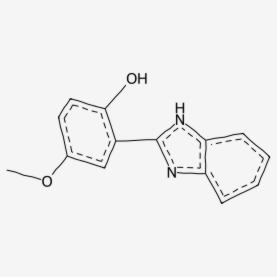 COc1ccc(O)c(-c2nc3ccccc3[nH]2)c1